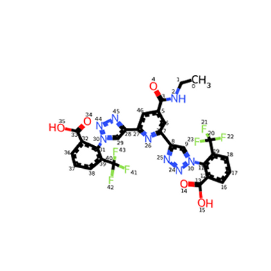 CCNC(=O)c1cc(-c2cn(-c3c(C(=O)O)cccc3C(F)(F)F)nn2)nc(-c2cn(-c3c(C(=O)O)cccc3C(F)(F)F)nn2)c1